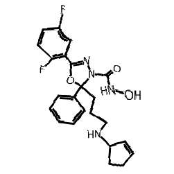 O=C(NO)N1N=C(c2cc(F)ccc2F)OC1(CCCNC1C=CCC1)c1ccccc1